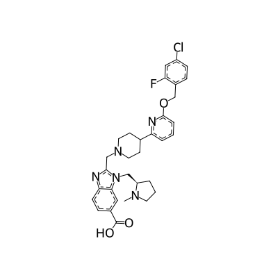 CN1CCC[C@@H]1Cn1c(CN2CCC(c3cccc(OCc4ccc(Cl)cc4F)n3)CC2)nc2ccc(C(=O)O)cc21